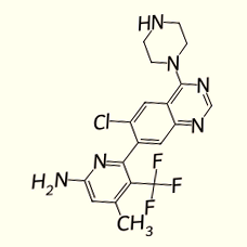 Cc1cc(N)nc(-c2cc3ncnc(N4CCNCC4)c3cc2Cl)c1C(F)(F)F